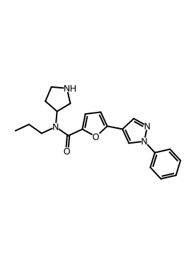 CCCN(C(=O)c1ccc(-c2cnn(-c3ccccc3)c2)o1)C1CCNC1